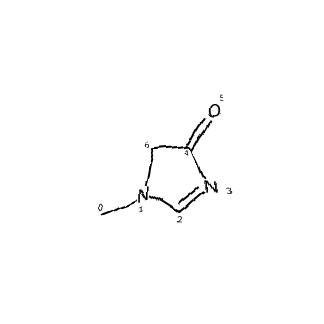 CN1C=NC(=O)C1